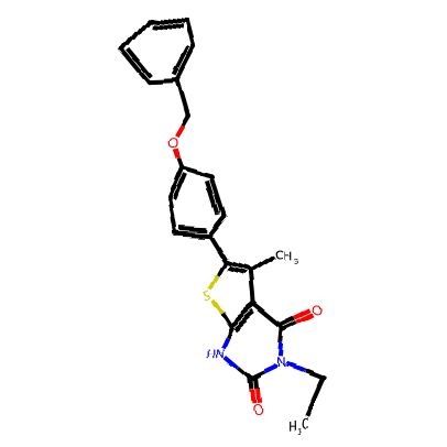 CCn1c(=O)[nH]c2sc(-c3ccc(OCc4ccccc4)cc3)c(C)c2c1=O